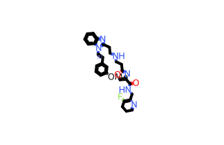 COc1cccc(/C=C/n2c(CCNCCc3nc(C(=O)NCC4=C(F)CCC=N4)co3)nc3ccccc32)c1